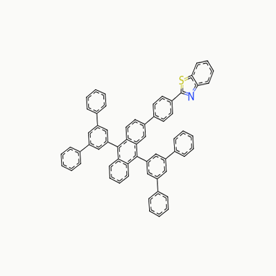 c1ccc(-c2cc(-c3ccccc3)cc(-c3c4ccccc4c(-c4cc(-c5ccccc5)cc(-c5ccccc5)c4)c4cc(-c5ccc(-c6nc7ccccc7s6)cc5)ccc34)c2)cc1